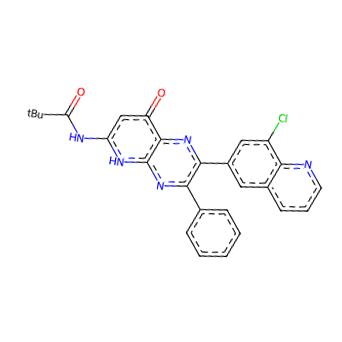 CC(C)(C)C(=O)Nc1cc(=O)c2nc(-c3cc(Cl)c4ncccc4c3)c(-c3ccccc3)nc2[nH]1